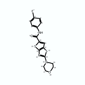 O=C(Nc1ccc(F)cc1)c1cc2sc(N3CCOCC3)nc2s1